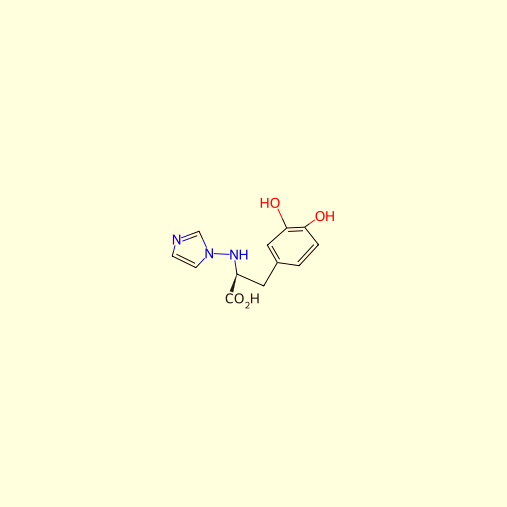 O=C(O)[C@H](Cc1ccc(O)c(O)c1)Nn1ccnc1